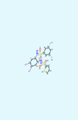 O=S(=O)(Nc1cc(I)c(I)cc1NS(=O)(=O)c1cccs1)c1cc(F)cc(F)c1